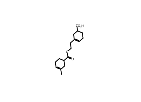 CC1=CCCC(C(=O)OCCC2=CCCC(C(=O)O)C2)C1